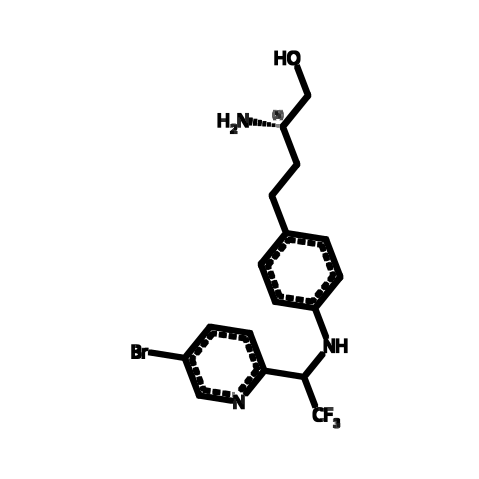 N[C@H](CO)CCc1ccc(NC(c2ccc(Br)cn2)C(F)(F)F)cc1